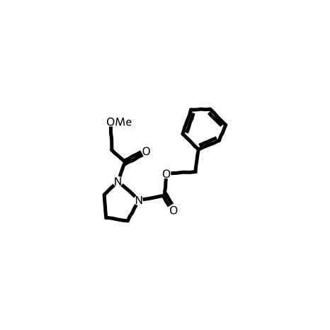 COCC(=O)N1CCCN1C(=O)OCc1ccccc1